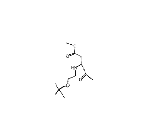 COC(=O)CC(CC(C)=O)NCCOC(C)(C)C